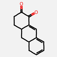 O=C1CCC2CC3CC=CC=C3C=C2C1=O